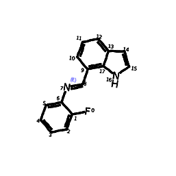 Fc1ccccc1/N=C/c1cccc2cc[nH]c12